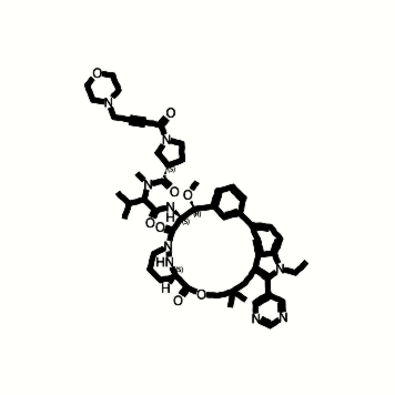 CCn1c(-c2cncnc2)c2c3cc(ccc31)-c1cccc(c1)[C@@H](OC)[C@H](NC(=O)C(C(C)C)N(C)C(=O)[C@H]1CCN(C(=O)C#CCN3CCOCC3)C1)C(=O)N1CCC[C@H](N1)C(=O)OCC(C)(C)C2